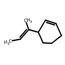 CC=C(C)C1C=CCCC1